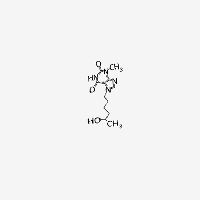 CC(O)CCCCn1cnc2c1c(=O)[nH]c(=O)n2C